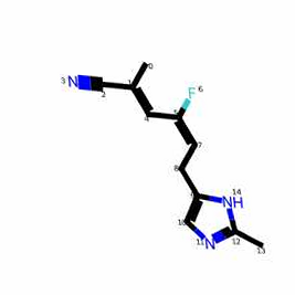 C/C(C#N)=C\C(F)=C/Cc1cnc(C)[nH]1